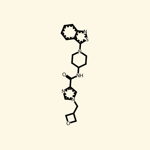 O=C(NC1CCN(c2snc3ccccc23)CC1)c1cn(CC2COC2)cn1